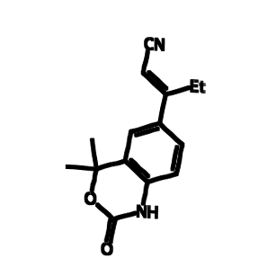 CCC(=CC#N)c1ccc2c(c1)C(C)(C)OC(=O)N2